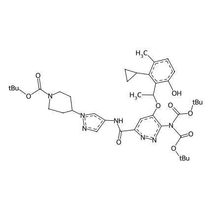 Cc1ccc(O)c(C(C)Oc2cc(C(=O)Nc3cnn(C4CCN(C(=O)OC(C)(C)C)CC4)c3)nnc2N(C(=O)OC(C)(C)C)C(=O)OC(C)(C)C)c1C1CC1